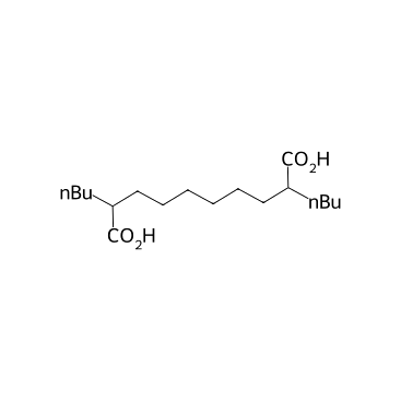 CCCCC(CCCCCCC(CCCC)C(=O)O)C(=O)O